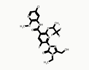 CCn1c(CO)nn(-c2nc(OC(C)C(F)(F)F)c(C(=O)Nc3cc(Cl)cnc3OC)cc2F)c1=O